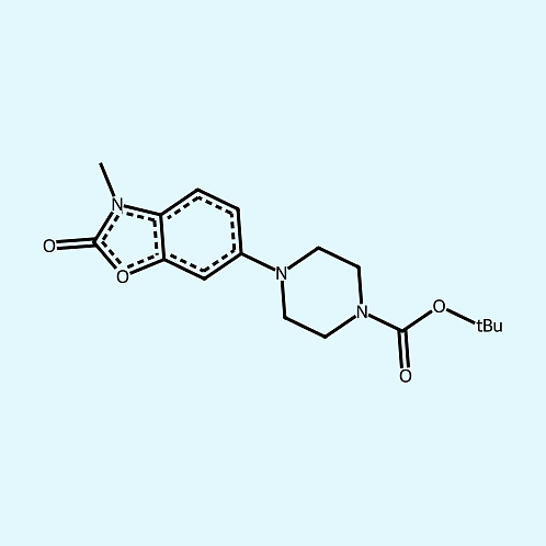 Cn1c(=O)oc2cc(N3CCN(C(=O)OC(C)(C)C)CC3)ccc21